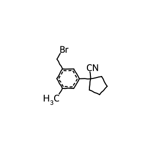 Cc1cc(CBr)cc(C2(C#N)CCCC2)c1